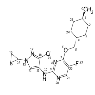 C[C@H]1CC[C@H](COc2nc(Nc3cn(C4CC4)nc3Cl)ncc2F)CC1